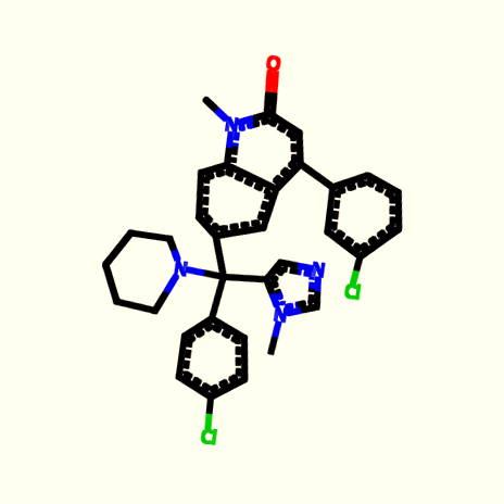 Cn1cncc1C(c1ccc(Cl)cc1)(c1ccc2c(c1)c(-c1cccc(Cl)c1)cc(=O)n2C)N1CCCCC1